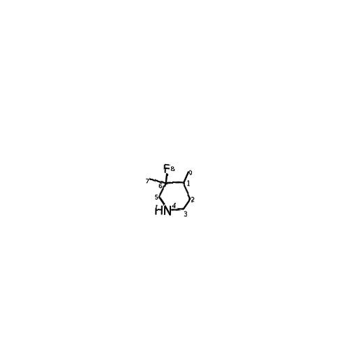 CC1CCNCC1(C)F